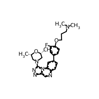 C[C@@H]1CN(c2nnc3cnc4ccc(-c5ccc(OCCCN(C)C)c(F)c5)cc4n23)C[C@H](C)O1